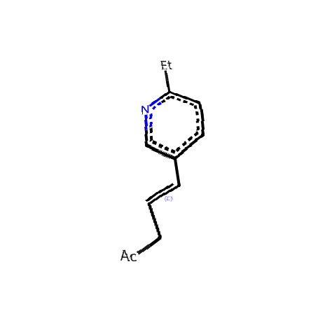 CCc1ccc(/C=C/CC(C)=O)cn1